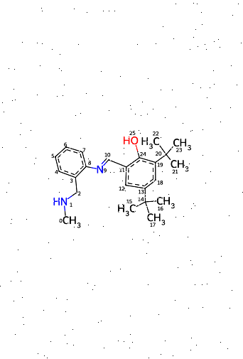 CNCc1ccccc1/N=C/c1cc(C(C)(C)C)cc(C(C)(C)C)c1O